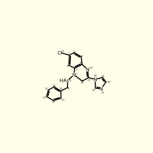 Clc1ccc2c(c1)N([AsH]Cc1ccccc1)CC(n1ccnc1)=N2